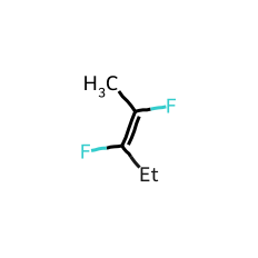 [CH2]CC(F)=C(C)F